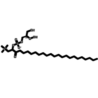 CCCCCCCCCCCCCCCCCCCCCC(=O)C(C[N+](C)(C)C)OP(=O)([O-])OC[C@@H](CO)OO